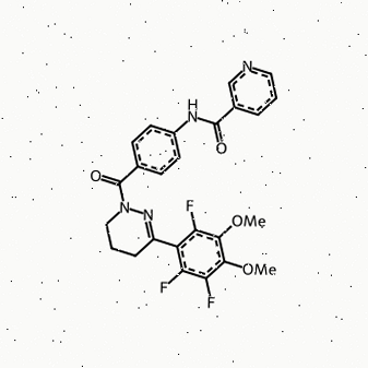 COc1c(F)c(F)c(C2=NN(C(=O)c3ccc(NC(=O)c4cccnc4)cc3)CCC2)c(F)c1OC